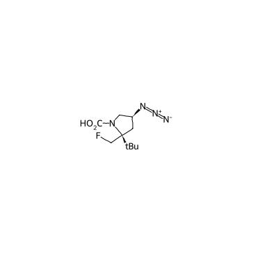 CC(C)(C)[C@]1(CF)C[C@H](N=[N+]=[N-])CN1C(=O)O